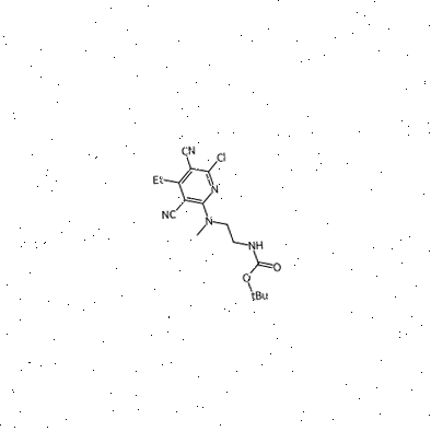 CCc1c(C#N)c(Cl)nc(N(C)CCNC(=O)OC(C)(C)C)c1C#N